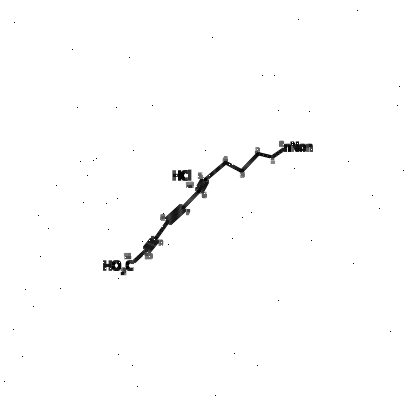 CCCCCCCCCCCCCC#CC#CC#CC(=O)O.Cl